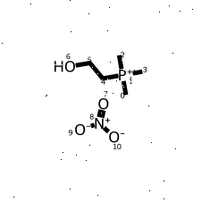 C[P+](C)(C)CCO.O=[N+]([O-])[O-]